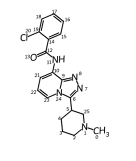 CN1CCCC(c2nnc3c(NC(=O)c4ccccc4Cl)cccn23)C1